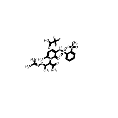 Cc1ccc(NS(=O)(=O)c2ccccc2S(C)(=O)=O)c(=O)n1C(C(N)=O)C(C)ON=C(N)N.O=C(O)C(F)(F)F